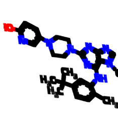 Cc1ccc(C(C)(C)C)cc1Nc1nc(N2CCN(c3ccc(O)nc3)CC2)nc2ncn(C)c12